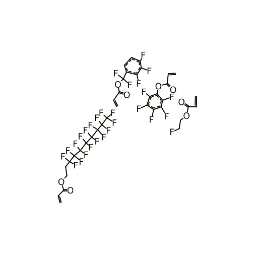 C=CC(=O)OC(F)(F)c1ccc(F)c(F)c1F.C=CC(=O)OCCC(F)(F)C(F)(F)C(F)(F)C(F)(F)C(F)(F)C(F)(F)C(F)(F)C(F)(F)F.C=CC(=O)OCCF.C=CC(=O)Oc1c(F)c(F)c(F)c(F)c1F